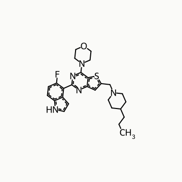 CCCC1CCN(Cc2cc3nc(-c4c(F)ccc5[nH]ccc45)nc(N4CCOCC4)c3s2)CC1